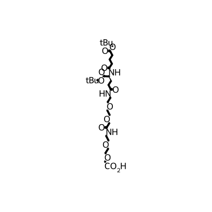 CC(C)(C)OC(=O)CCCC(=O)N[C@@H](CCC(=O)NCCOCCOCC(=O)NCCOCCOCC(=O)O)C(=O)OC(C)(C)C